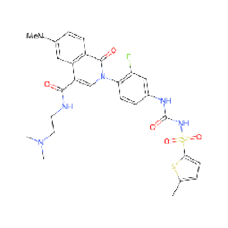 CNc1ccc2c(=O)n(-c3ccc(NC(=O)NS(=O)(=O)c4ccc(C)s4)cc3F)cc(C(=O)NCCN(C)C)c2c1